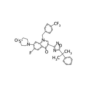 CC(C)(c1ccccc1)c1nc(-c2cn(Cc3ccc(C(F)(F)F)cc3)c3cc(N4CC[S+]([O-])CC4)c(F)cc3c2=O)no1